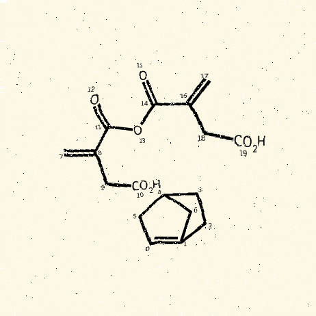 C1=C2CCC(C1)C2.C=C(CC(=O)O)C(=O)OC(=O)C(=C)CC(=O)O